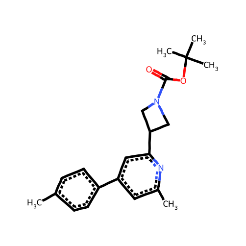 Cc1ccc(-c2cc(C)nc(C3CN(C(=O)OC(C)(C)C)C3)c2)cc1